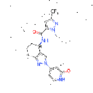 Cn1nc(C(F)(F)F)cc1C(=O)N[C@@H]1CCCc2nn(-c3cc[nH]c(=O)c3)cc21